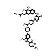 C=C1CCC(c2nn(C)c3cc(N4CCN(C(=C)C5CCN(c6ncc(Cl)c(Nc7ccc8c(c7)C=C(CCC(=O)NC)C(=C)N8C)n6)CC5)CC4)ccc23)C(=O)N1